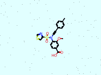 COc1cc(C(=O)O)ccc1N(C#Cc1ccc(C)cc1)S(=O)(=O)c1cscn1